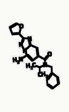 CC(C)N(Cc1ccccc1)C(=O)c1cc(N)n2nc(-c3ccco3)nc2c1